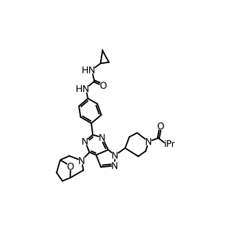 CC(C)C(=O)N1CCC(n2ncc3c(N4CC5CCC(C4)O5)nc(-c4ccc(NC(=O)NC5CC5)cc4)nc32)CC1